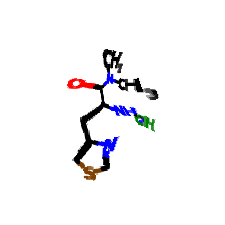 CN(C)C(=O)C(N)Cc1cscn1.Cl